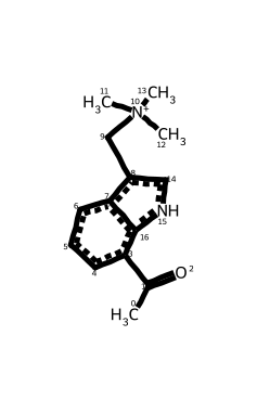 CC(=O)c1cccc2c(C[N+](C)(C)C)c[nH]c12